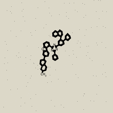 CC1C=Cc2cc(-c3ccc4c(c3)oc3cccc(-c5nc(-c6ccccc6)nc(-c6ccc(-c7ccccc7)c(-c7cccc8ccccc78)c6)n5)c34)ccc2C1